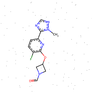 Cn1ncnc1-c1ccc(F)c(OC2CN(C=O)C2)n1